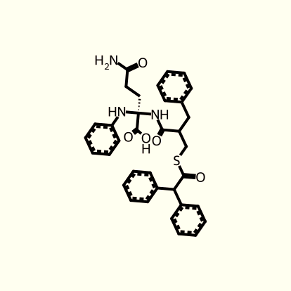 NC(=O)CC[C@@](NC(=O)C(CSC(=O)C(c1ccccc1)c1ccccc1)Cc1ccccc1)(Nc1ccccc1)C(=O)O